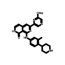 COc1cncc(-c2cc3cc[nH]c(=O)c3c(Nc3ccc(C4[CH]CNCC4)c(C)c3)n2)n1